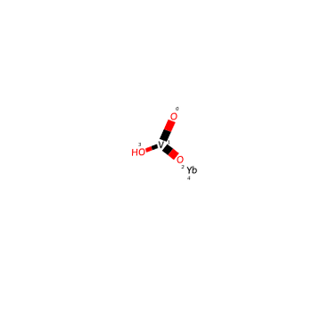 [O]=[V](=[O])[OH].[Yb]